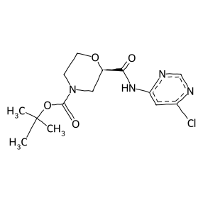 CC(C)(C)OC(=O)N1CCO[C@@H](C(=O)Nc2cc(Cl)ncn2)C1